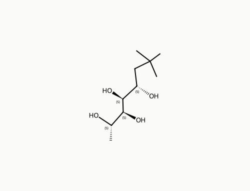 C[C@H](O)[C@H](O)[C@@H](O)[C@@H](O)CC(C)(C)C